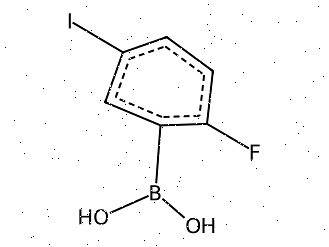 OB(O)c1cc(I)ccc1F